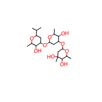 CC(C)C1CC(OC2CC(OC3CC(C)(O)C(O)C(C)O3)C(O)C(C)O2)C(O)C(C)O1